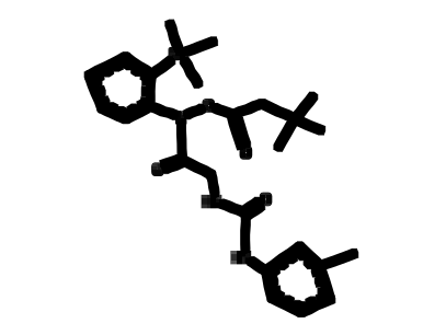 Cc1cccc(NC(=O)NCC(=O)N(OC(=O)CC(C)(C)C)c2cccc[c]2[Sn]([CH3])([CH3])[CH3])c1